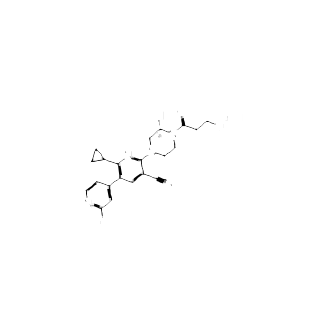 COCCC(=O)N1CCN(c2nc(C3CC3)c(-c3ccnc(Cl)c3)cc2C#N)C[C@H]1C